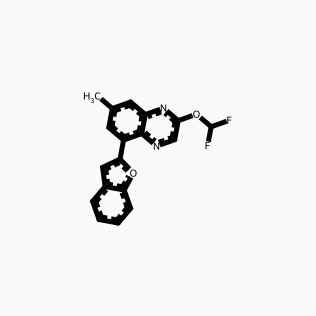 Cc1cc(-c2cc3ccccc3o2)c2ncc(OC(F)F)nc2c1